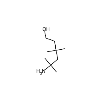 CC(C)(N)CC(C)(C)CCO